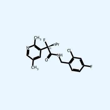 CCC[C@@](F)(C(=O)NCc1ccc(F)cc1Cl)c1cc(C)cnc1C